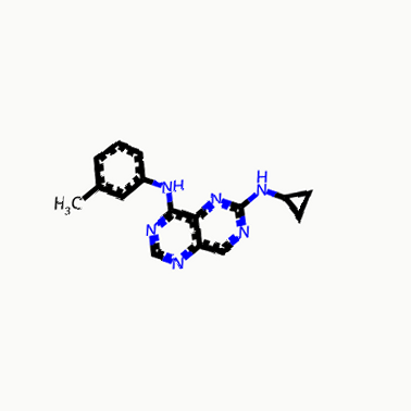 Cc1cccc(Nc2ncnc3cnc(NC4CC4)nc23)c1